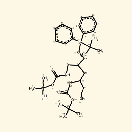 CC(C)(C)OC(=O)NCC(CO[Si](c1ccccc1)(c1ccccc1)C(C)(C)C)CC(CO)NC(=O)OC(C)(C)C